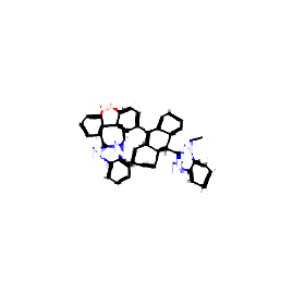 CCn1c(-c2c3ccccc3c(-c3ccc4oc5cccc(-c6nc7ccccc7n6CC)c5c4c3)c3ccccc23)nc2ccccc21